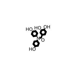 O=C(c1ccc(O)c(O)c1)N(c1ccc(O)cc1)c1ccc(O)cc1